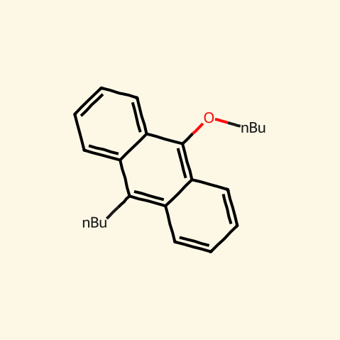 CCCCOc1c2ccccc2c(CCCC)c2ccccc12